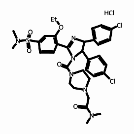 CCOc1cc(S(=O)(=O)N(C)C)ccc1C1=NC(c2ccc(Cl)cc2)C(c2ccc(Cl)cc2)N1C(=O)N1CCN(CC(=O)N(C)C)CC1.Cl